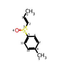 C/C=C/[S+]([O-])c1ccc(C)cc1